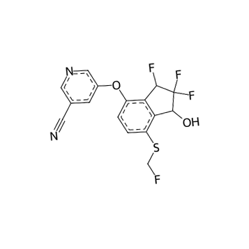 N#Cc1cncc(Oc2ccc(SCF)c3c2C(F)C(F)(F)C3O)c1